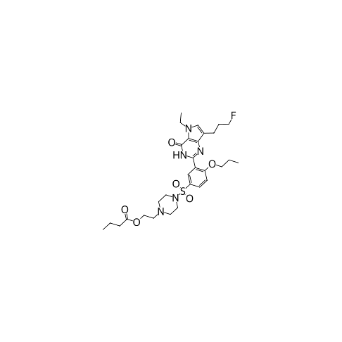 CCCOc1ccc(S(=O)(=O)N2CCN(CCOC(=O)CCC)CC2)cc1-c1nc2c(CCCF)cn(CC)c2c(=O)[nH]1